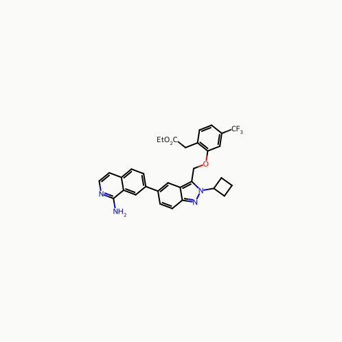 CCOC(=O)Cc1ccc(C(F)(F)F)cc1OCc1c2cc(-c3ccc4ccnc(N)c4c3)ccc2nn1C1CCC1